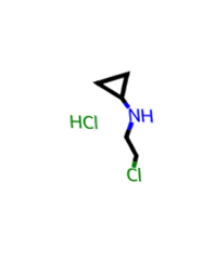 Cl.ClCCNC1CC1